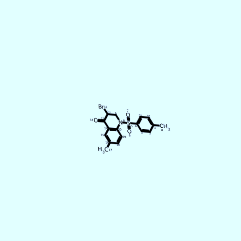 Cc1ccc(S(=O)(=O)N2CC(Br)C(=O)c3cc(C)ccc32)cc1